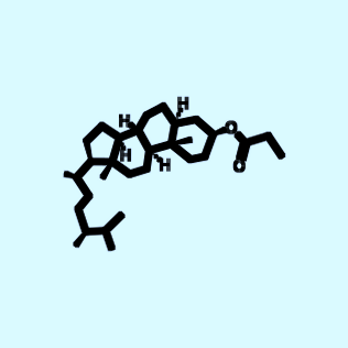 CCC(=O)O[C@H]1CC[C@@]2(C)[C@@H](CC[C@@H]3[C@@H]2CC[C@]2(C)[C@@H]([C@H](C)CC[C@H](C)C(C)C)CC[C@@H]32)C1